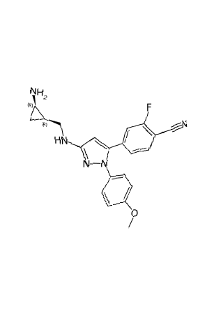 COc1ccc(-n2nc(NC[C@H]3C[C@H]3N)cc2-c2ccc(C#N)c(F)c2)cc1